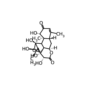 CC1=CC(=O)[C@@H](O)[C@]2(C)C3[C@]45CO[C@@]3(O)[C@H](O)C(C)[C@]4(O)[C@@H](O)C(=O)O[C@@H]5C[C@@H]12